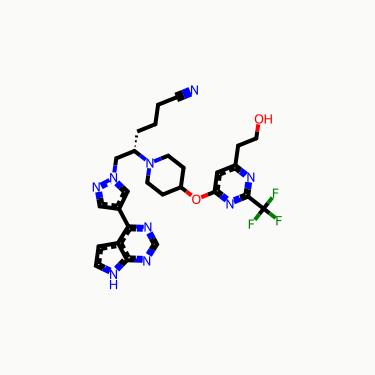 N#CCCC[C@@H](Cn1cc(-c2ncnc3[nH]ccc23)cn1)N1CCC(Oc2cc(CCO)nc(C(F)(F)F)n2)CC1